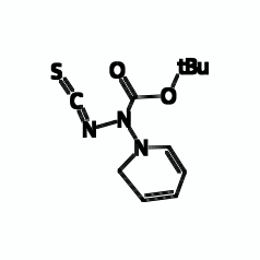 CC(C)(C)OC(=O)N(N=C=S)N1C=CC=CC1